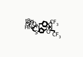 CC(C)(C)OC(=O)N[C@H]1CSc2ccc(-c3nnc(CC(F)(F)F)o3)cc2N(Cc2ccc(OC(F)(F)F)cc2)C1=O